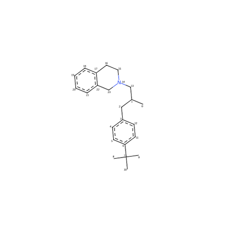 CC(Cc1ccc(C(C)(C)C)cc1)CN1CCc2ccccc2C1